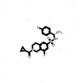 C[C@H](NS(=O)(=O)c1cc(F)c2c(c1)CCN(C(=O)C1CC1)C2)c1ccc(F)cc1